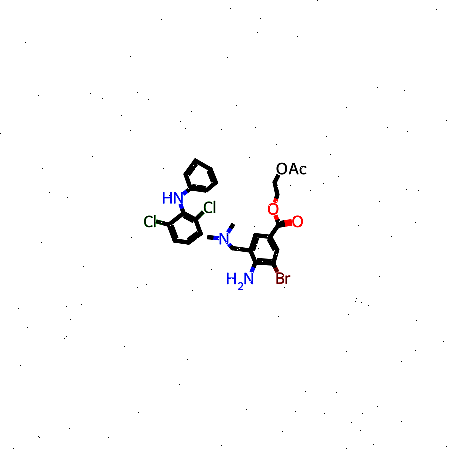 CC(=O)OCCOC(=O)c1cc(Br)c(N)c(CN(C)C)c1.Clc1cccc(Cl)c1Nc1ccccc1